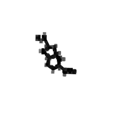 COc1ccc2nc(N)cn2n1